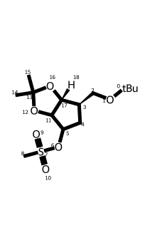 CC(C)(C)OC[C@H]1CC(OS(C)(=O)=O)C2OC(C)(C)O[C@@H]21